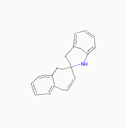 C1=CC2(Cc3ccccc31)Cc1ccccc1N2